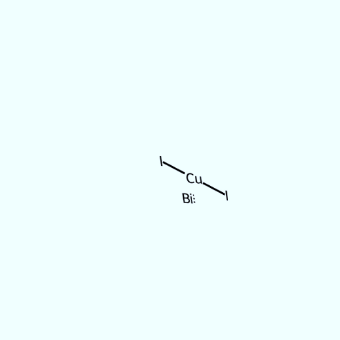 [Bi].[I][Cu][I]